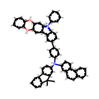 CC1(C)c2ccccc2-c2ccc(N(c3ccc(-c4ccc5c(c4)c4cc6c(cc4n5-c4ccccc4)Oc4ccccc4O6)cc3)c3ccc4c(ccc5ccccc54)c3)cc21